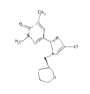 Cc1cc(-c2nc(Cl)cn2C[C@@H]2CCCOC2)cn(C)c1=O